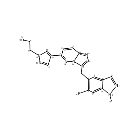 Cn1ncc2cc(Cc3cnc4ccc(-c5cnn(CCO)c5)nn34)c(F)cc21